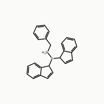 C1=C[CH]([Zr]([SiH2]Cc2ccccc2)[CH]2C=Cc3ccccc32)c2ccccc21